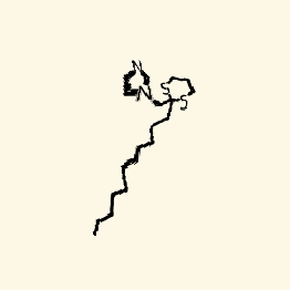 CCCCCCCCCCCC1(Cn2ccnc2)SCCCS1